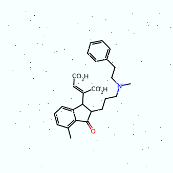 Cc1cccc2c1C(=O)C(CCCN(C)CCc1ccccc1)C2C(=CC(=O)O)C(=O)O